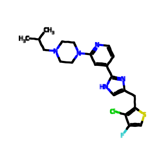 CC(C)CN1CCN(c2cc(-c3nc(Cc4scc(F)c4Cl)c[nH]3)ccn2)CC1